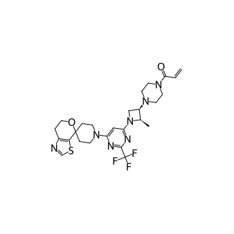 C=CC(=O)N1CCN([C@@H]2CN(c3cc(N4CCC5(CC4)OCCc4ncsc45)nc(C(F)(F)F)n3)[C@@H]2C)CC1